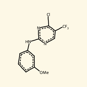 COc1cccc(Nc2ncc(C(F)(F)F)c(Cl)n2)c1